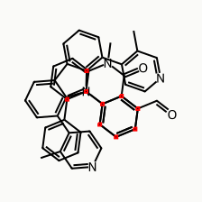 Cc1cnccc1-c1cccc2c3cccc(-c4ccncc4C)c3n(-c3cccc(C=O)c3C(=O)N(C)c3cccc(-c4ccccc4)c3-c3ccccc3)c12